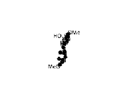 COc1ccc(-c2ccc3nc(-c4cccc(-c5cc(-c6ccccc6)c6cc(-c7ccc(Oc8c(F)c(F)c(-c9c(F)c(F)c(Oc%10cc(S(=O)(=O)O)c%11ccc(OC)cc%11c%10)c(F)c9F)c(F)c8F)cc7)ccc6n5)c4)cc(-c4ccccc4)c3c2)cc1